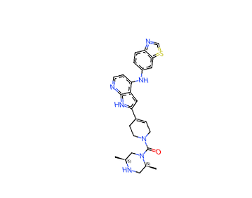 C[C@H]1CN(C(=O)N2CC=C(c3cc4c(Nc5ccc6ncsc6c5)ccnc4[nH]3)CC2)[C@@H](C)CN1